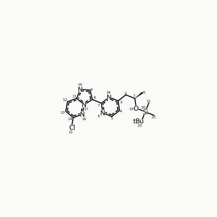 C[C@H](Cc1ccnc(-c2cnc3ccc(Cl)nn23)n1)O[Si](C)(C)C(C)(C)C